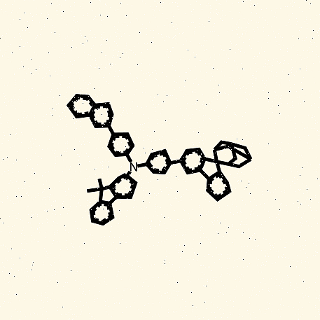 CC1(C)c2ccccc2-c2ccc(N(c3ccc(-c4ccc5c(c4)-c4ccccc4C54C5CC6CC(C5)CC4C6)cc3)c3ccc(-c4ccc5ccccc5c4)cc3)cc21